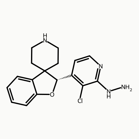 NNc1nccc([C@@H]2Oc3ccccc3C23CCNCC3)c1Cl